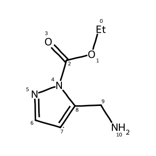 CCOC(=O)n1nc[c]c1CN